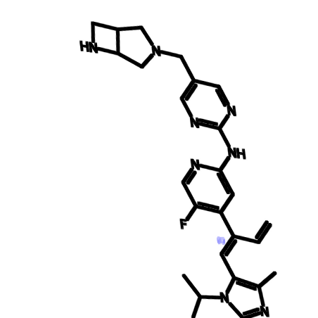 C=C/C(=C\c1c(C)nc(C)n1C(C)C)c1cc(Nc2ncc(CN3CC4CNC4C3)cn2)ncc1F